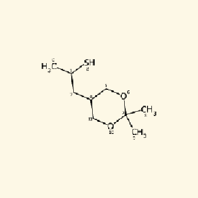 CC(S)CC1COC(C)(C)OC1